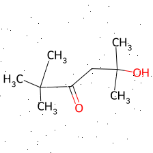 CC(C)(O)CC(=O)C(C)(C)C